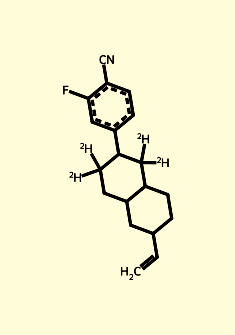 [2H]C1([2H])CC2CC(C=C)CCC2C([2H])([2H])C1c1ccc(C#N)c(F)c1